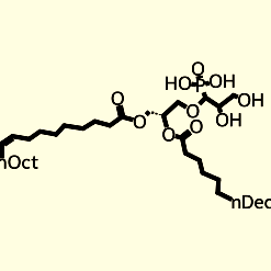 CCCCCCCC/C=C\CCCCCCCC(=O)OC[C@H](COC(C(O)CO)P(=O)(O)O)OC(=O)CCCCCCCCCCCCCCC